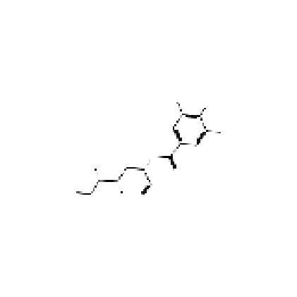 O=C[C@H](OC(=O)c1cc(O)c(O)c(O)c1)[C@@H](O)[C@@H](O)[C@H](O)CO